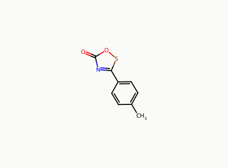 Cc1ccc(-c2nc(=O)os2)cc1